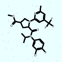 COC(=O)C1CC(C(=O)N(c2ccc(F)c(Cl)c2)C(C)C)N(c2cc(C(F)(F)F)cc(C)n2)C1